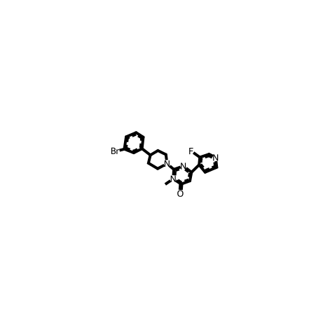 Cn1c(N2CCC(c3cccc(Br)c3)CC2)nc(-c2ccncc2F)cc1=O